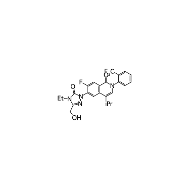 CCn1c(CO)nn(-c2cc3c(C(C)C)cn(-c4ccccc4C(F)(F)F)c(=O)c3cc2F)c1=O